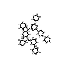 c1ccc(-c2ccc(-c3nc(-c4ccccc4)nc(-n4c5ccccc5c5cc6c7ccccc7n(-c7cccc(-c8ccccc8)c7)c6cc54)n3)cc2)cc1